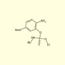 CCOP(=S)(NC(C)CC)Oc1cc(OC)ccc1[N+](=O)[O-]